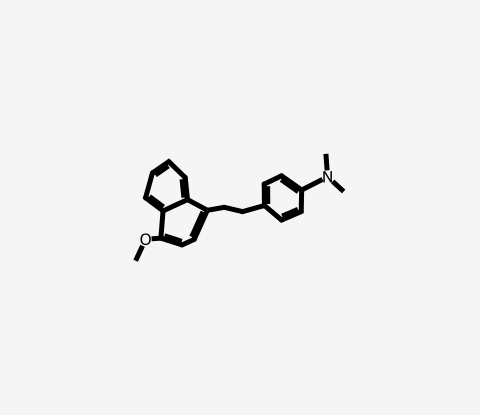 COc1ccc(CCc2ccc(N(C)C)cc2)c2ccccc12